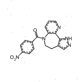 O=C(c1ccc([N+](=O)[O-])cc1)N1CCc2cn[nH]c2-c2ncccc21